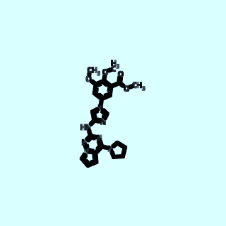 COC(=O)c1cc(-n2cnc(Nc3nc(N4CCCC4)c4cccn4n3)c2)cc(OC)c1OC